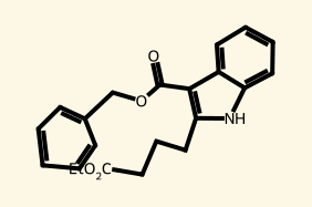 CCOC(=O)CCCc1[nH]c2ccccc2c1C(=O)OCc1ccccc1